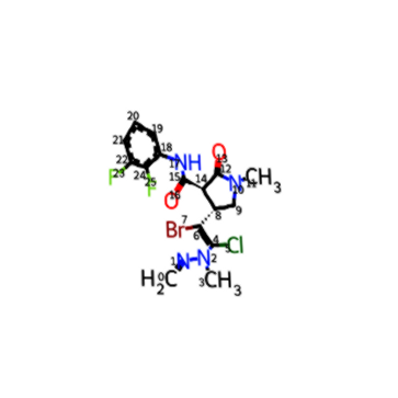 C=NN(C)/C(Cl)=C(\Br)[C@H]1CN(C)C(=O)[C@@H]1C(=O)Nc1cccc(F)c1F